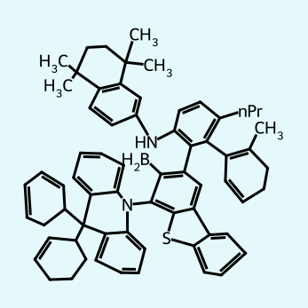 Bc1c(-c2c(Nc3ccc4c(c3)C(C)(C)CCC4(C)C)ccc(CCC)c2C2=C(C)CCC=C2)cc2c(sc3ccccc32)c1N1c2ccccc2C(C2C=CC=CC2)(C2C=CCCC2)c2ccccc21